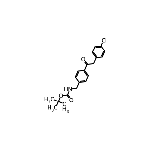 CC(C)(C)OC(=O)NCc1ccc(C(=O)Cc2ccc(Cl)cc2)cc1